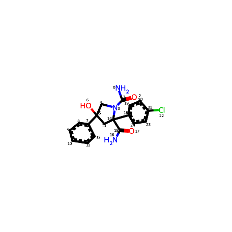 NC(=O)N1CC(O)(c2ccccc2)CC1(C(N)=O)c1ccc(Cl)cc1